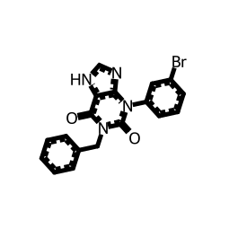 O=c1c2[nH]cnc2n(-c2cccc(Br)c2)c(=O)n1Cc1ccccc1